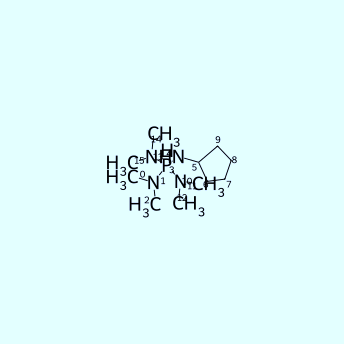 CN(C)[PH](NC1CCCC1)(N(C)C)N(C)C